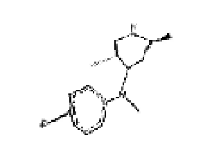 C[C@@H]1CN[C@@H](C)CC1N(C)c1ccc(F)cc1